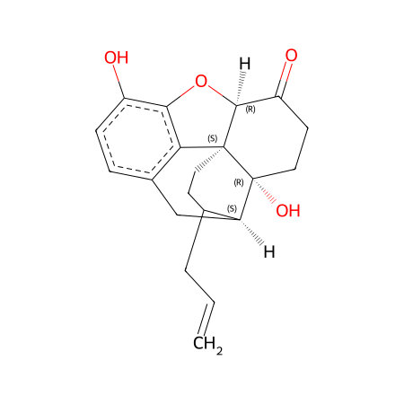 C=CCC1CC[C@]23c4c5ccc(O)c4O[C@H]2C(=O)CC[C@@]3(O)[C@H]1C5